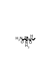 CCNC(=O)n1cnc(C(N)=O)c1N